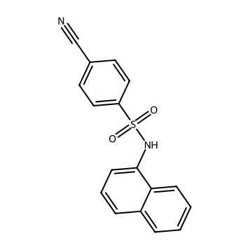 N#Cc1ccc(S(=O)(=O)Nc2cccc3ccccc23)cc1